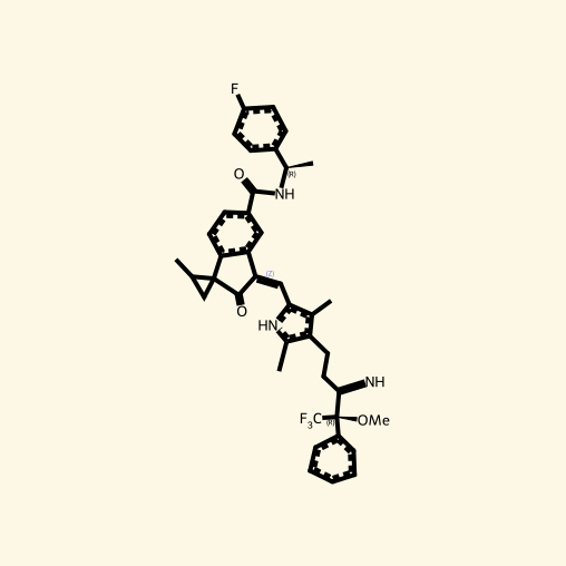 CO[C@@](C(=N)CCc1c(C)[nH]c(/C=C2\C(=O)C3(CC3C)c3ccc(C(=O)N[C@H](C)c4ccc(F)cc4)cc32)c1C)(c1ccccc1)C(F)(F)F